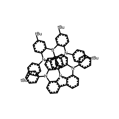 CC(C)(C)c1ccc(N2c3ccc(C(C)(C)C)cc3B3c4cc(C(C)(C)C)ccc4N(c4ccc(C(C)(C)C)cc4)c4cc(-n5c6c(N(c7ccccc7)c7ccccc7)cccc6c6cccc(N(c7ccccc7)c7ccccc7)c65)cc2c43)cc1